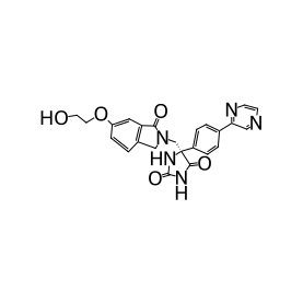 O=C1NC(=O)[C@](CN2Cc3ccc(OCCO)cc3C2=O)(c2ccc(-c3cnccn3)cc2)N1